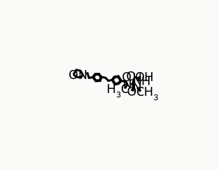 CNC(=O)C(C(=O)NO)N(C)C(=O)c1ccc(CCc2ccc(CCN3CCOCC3)cc2)cc1